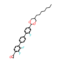 CCCCCCCC1COC(c2ccc(-c3ccc(-c4ccc(C5CO5)c(F)c4F)cc3)c(F)c2)OC1